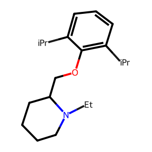 CCN1CCCCC1COc1c(C(C)C)cccc1C(C)C